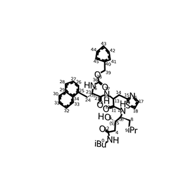 CCC(C)NC(=O)C[C@H](O)[C@H](CC(C)C)NC(=O)C(Cc1nccs1)NC(=O)[C@H](Cc1cccc2ccccc12)NC(=O)OCc1ccccc1